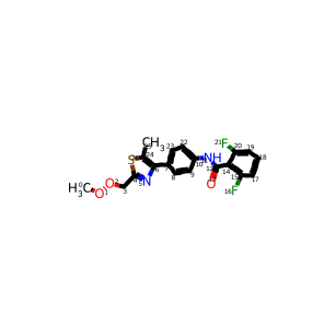 COOCc1nc(-c2ccc(NC(=O)c3c(F)cccc3F)cc2)c(C)s1